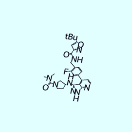 CN(C)C(=O)N1CC[C@@H](Nc2n[nH]c3nccc(-c4ccc(CNC(=O)c5cc(C(C)(C)C)on5)c(F)c4)c23)C1